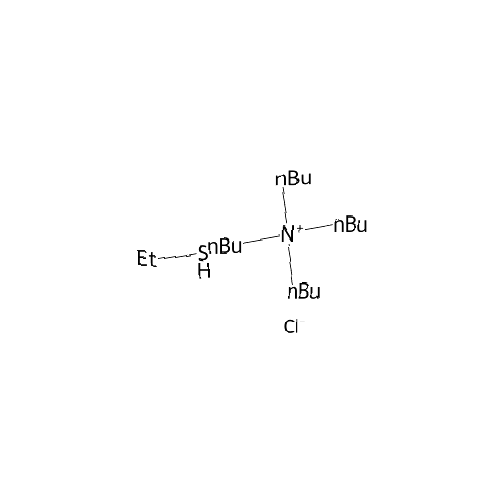 CCCC[N+](CCCC)(CCCC)CCCC.CCS.[Cl-]